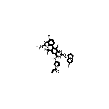 C=CC(=O)N1CC[C@@H](Nc2nc(OC[C@@]34CCCN3C[C@H](F)C4)nc3c(F)c(-c4ccc(F)c5sc(N)nc45)c(C(F)(F)F)cc23)C1